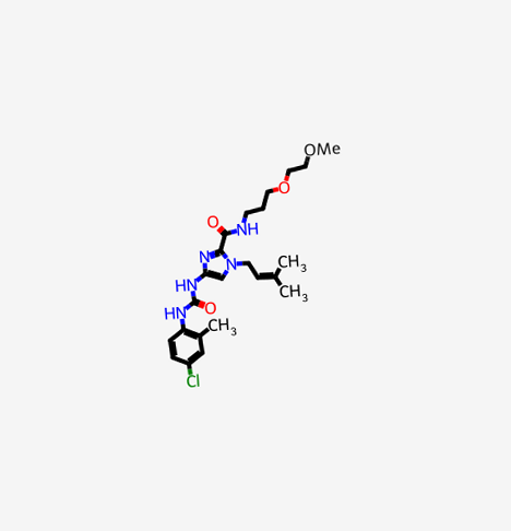 COCCOCCCNC(=O)c1nc(NC(=O)Nc2ccc(Cl)cc2C)cn1CC=C(C)C